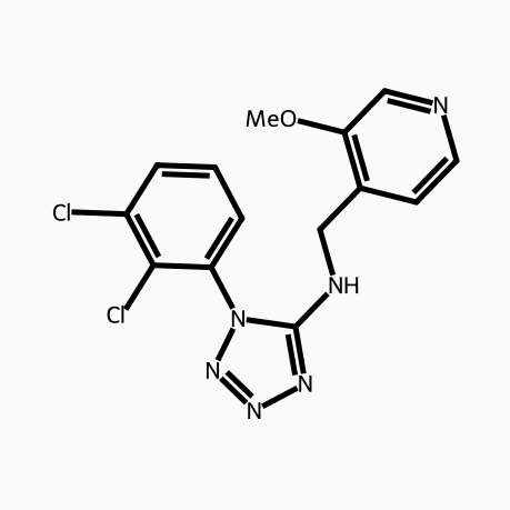 COc1cnccc1CNc1nnnn1-c1cccc(Cl)c1Cl